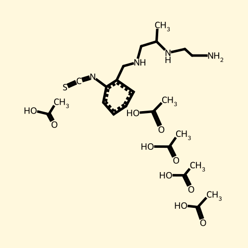 CC(=O)O.CC(=O)O.CC(=O)O.CC(=O)O.CC(=O)O.CC(CNCc1ccccc1N=C=S)NCCN